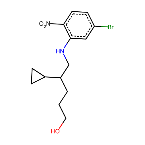 O=[N+]([O-])c1ccc(Br)cc1NCC(CCCO)C1CC1